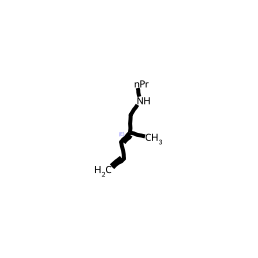 C=C/C=C(\C)CNCCC